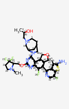 C[C@@H](O)CN1CCC2CC(C1)N(c1nc(OCC3N(C)CCC3(F)F)nc3c(F)c(-c4ncc(F)c5sc(N)c(C#N)c45)c4c(c13)COC4)C2